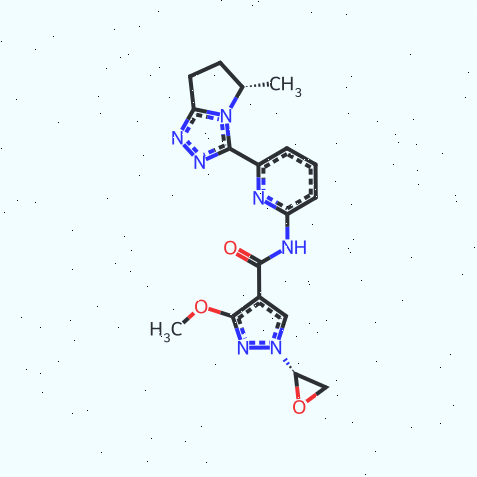 COc1nn([C@@H]2CO2)cc1C(=O)Nc1cccc(-c2nnc3n2[C@@H](C)CC3)n1